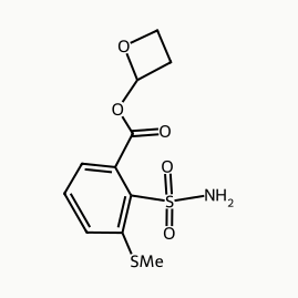 CSc1cccc(C(=O)OC2CCO2)c1S(N)(=O)=O